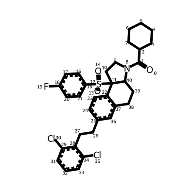 O=C(C1CCCCC1)N1CCC2(S(=O)(=O)c3ccc(F)cc3)c3ccc(CCc4c(Cl)cccc4Cl)cc3CCC12